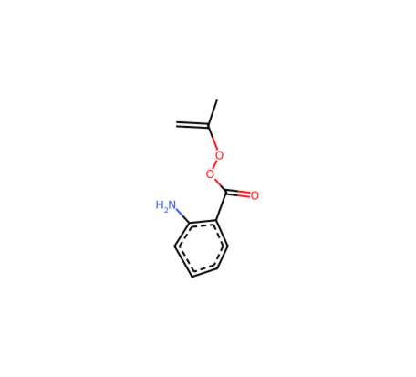 C=C(C)OOC(=O)c1ccccc1N